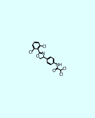 O=C(Nc1ccc(C2COC(c3c(Cl)cccc3Cl)=N2)cc1)C(Cl)Cl